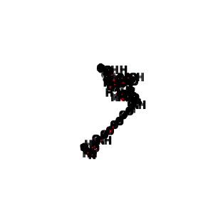 CC[C@@H](C)[C@@H]([C@@H](CC(=O)N1CCC[C@H]1[C@H](OC)[C@@H](C)C(=O)N[C@H](C)[C@@H](O)c1ccccc1)OC)N(C)C(=O)[C@@H](NC(=O)[C@H](C(C)C)N(CCc1ccc(NC(=O)[C@H](CCCNC(N)=O)NC(=O)[C@@H](NC(=O)CCOCCOCCOCCOCCOCCOCCNC(=O)CNC(=O)CCn2c(CN(C)NC)cc3ccccc32)C(C)C)cc1)C(=O)O)C(C)C